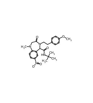 COc1ccc(CCN2C(=O)CN(C)c3ccc([N+](=O)[O-])cc3C2C(=O)NC(C)(C)C)cc1